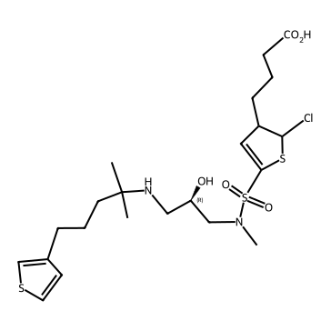 CN(C[C@H](O)CNC(C)(C)CCCc1ccsc1)S(=O)(=O)C1=CC(CCCC(=O)O)C(Cl)S1